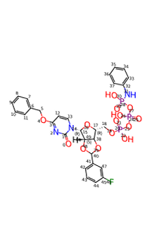 O=c1nc(OCc2ccccc2)ccn1[C@@H]1O[C@H](COP(=O)(O)OP(=O)(O)OP(=O)(O)Nc2ccccc2)C2OC(c3cccc(F)c3)O[C@@H]21